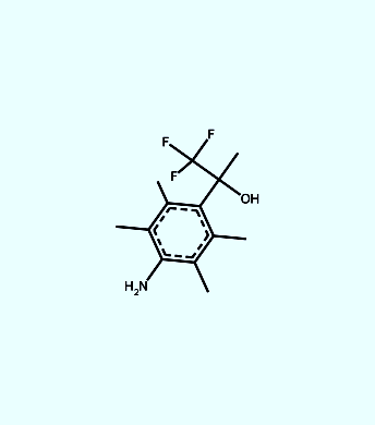 Cc1c(C)c(C(C)(O)C(F)(F)F)c(C)c(C)c1N